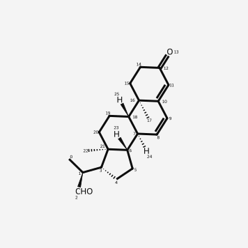 C[C@H](C=O)[C@H]1CC[C@H]2[C@@H]3C=CC4=CC(=O)CC[C@]4(C)[C@H]3CC[C@]12C